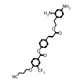 N#CCCCOc1ccc(C(=O)Oc2ccc(C=CC(=O)OCCc3ccc(N)cc3N)cc2)cc1C(F)(F)F